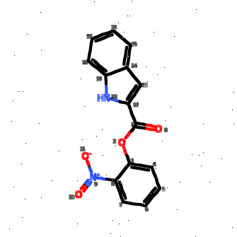 O=C(Oc1ccccc1[N+](=O)[O-])c1cc2ccccc2[nH]1